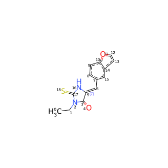 CCN1C(=O)/C(=C/c2ccc3occc3c2)NC1=S